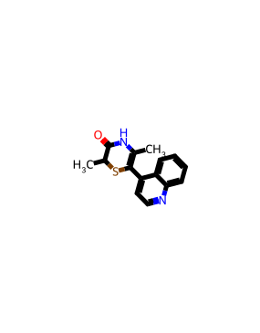 CC1=C(c2ccnc3ccccc23)SC(C)C(=O)N1